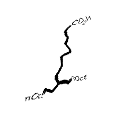 CCCCCCCCC=CC(=CCCCCCCCC)CCCCCCCC(=O)O